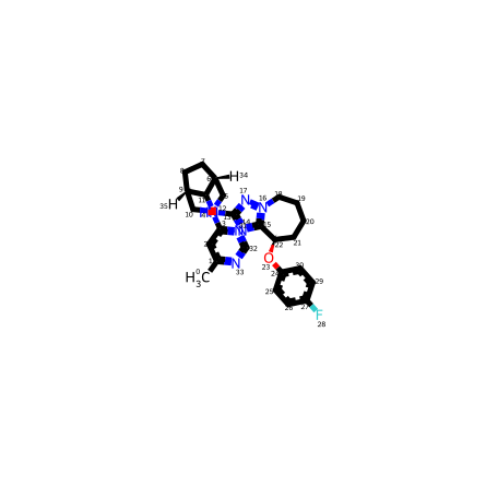 Cc1cc(N2C[C@H]3CC[C@@H](C2)C3Nc2nc3n(n2)CCCC[C@H]3Oc2ccc(F)cc2)ncn1